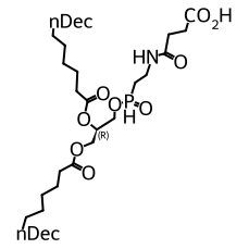 CCCCCCCCCCCCCCCC(=O)OC[C@H](CO[PH](=O)CCNC(=O)CCC(=O)O)OC(=O)CCCCCCCCCCCCCCC